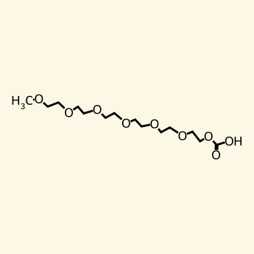 COCCOCCOCCOCCOCCOCCOC(=O)O